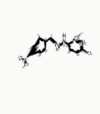 O=[N+]([O-])c1ccc(C=NNc2ccc(Cl)nn2)cc1